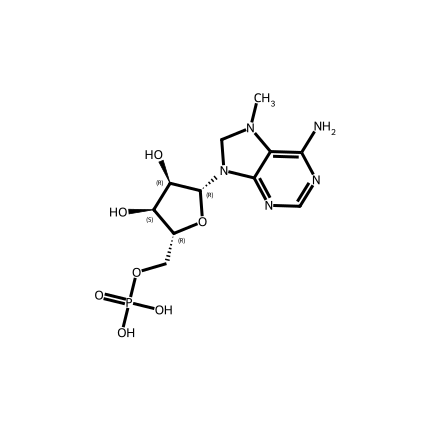 CN1CN([C@@H]2O[C@H](COP(=O)(O)O)[C@@H](O)[C@H]2O)c2ncnc(N)c21